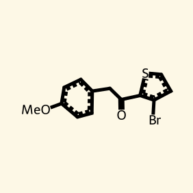 COc1ccc(CC(=O)c2sccc2Br)cc1